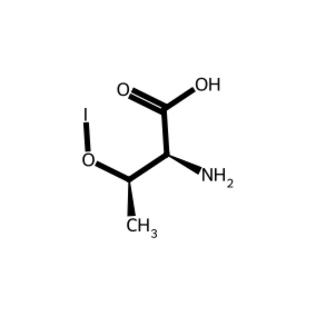 C[C@@H](OI)[C@H](N)C(=O)O